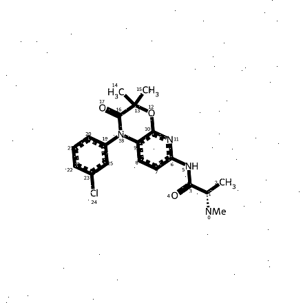 CN[C@@H](C)C(=O)Nc1ccc2c(n1)OC(C)(C)C(=O)N2c1cccc(Cl)c1